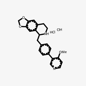 COc1ccncc1-c1ccc(CC2NCCc3cc4c(cc32)OCO4)cc1.Cl.Cl